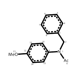 [CH2]C(=O)N(Cc1ccccc1)c1ccc(OC)cc1